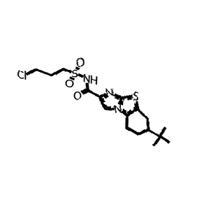 CC(C)(C)C1CCc2c(sc3nc(C(=O)NS(=O)(=O)CCCCl)cn23)C1